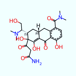 CN(C)C(=O)c1ccc(O)c2c1C[C@H]1C[C@@H](C(CO)N(C)C)C(O)(C(=O)CC(N)=O)C(O)=C1C2=O